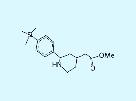 COC(=O)CC1CCNC(c2ccc([Si](C)(C)C)cc2)C1